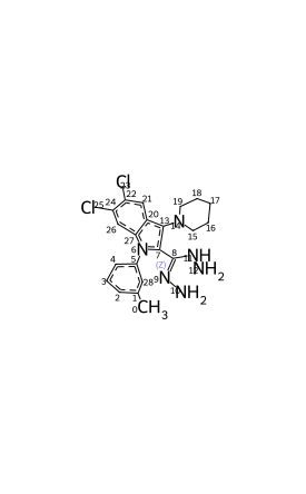 Cc1cccc(-n2c(/C(=N/N)NN)c(N3CCCCC3)c3cc(Cl)c(Cl)cc32)c1